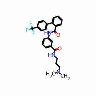 CN(C)CCCNC(=O)c1cccc(NC(=O)c2ccccc2-c2ccc(C(F)(F)F)cc2)c1